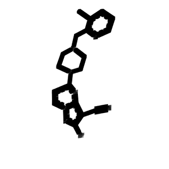 Cc1cccnc1CN1CCN(c2ccn3nc(Br)c(C#N)c3n2)CC1